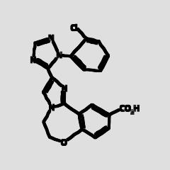 O=C(O)c1ccc2c(c1)-c1nc(-c3ncnn3-c3ccccc3Cl)cn1CCO2